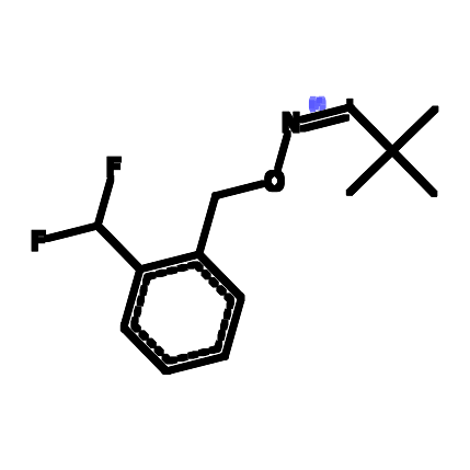 CC(C)(C)/[C]=N\OCc1ccccc1C(F)F